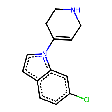 Clc1ccc2ccn(C3=CCNCC3)c2c1